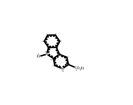 CCOC(=O)c1cc2c3ccccc3n(CC)c2cn1